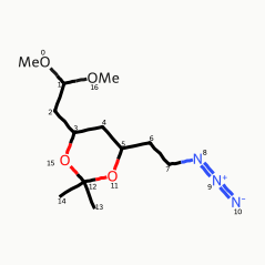 COC(CC1CC(CCN=[N+]=[N-])OC(C)(C)O1)OC